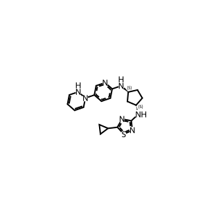 C1=CNN(c2ccc(N[C@H]3CC[C@H](Nc4nsc(C5CC5)n4)C3)nc2)C=C1